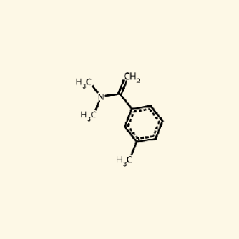 C=C(c1cccc(C)c1)N(C)C